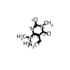 C=CC1=C(N(C)C)N=C(Cl)N(C)C1Cl